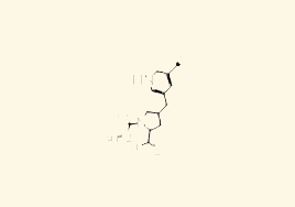 C#CC1=CC(CC2CC(C(CC)CC)N(C(=O)OC(C)(C)C)C2)=CNC1